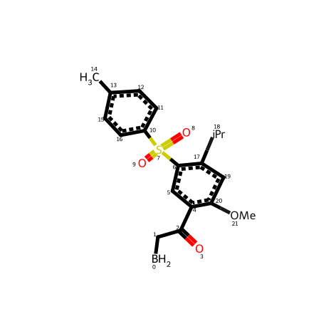 BCC(=O)c1cc(S(=O)(=O)c2ccc(C)cc2)c(C(C)C)cc1OC